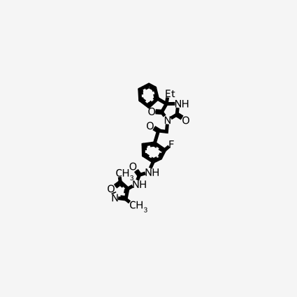 CCC1(c2ccccc2)NC(=O)N(CC(=O)c2ccc(NC(=O)Nc3c(C)noc3C)cc2F)C1=O